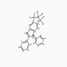 CC1(C)c2cc3nc(-c4ccccc4)n(-c4ccccc4)c3cc2C(C)(C)C1(C)C